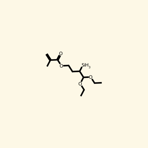 C=C(C)C(=O)OCCC([SiH3])C(OCC)OCC